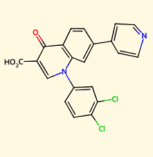 O=C(O)c1cn(-c2ccc(Cl)c(Cl)c2)c2cc(-c3ccncc3)ccc2c1=O